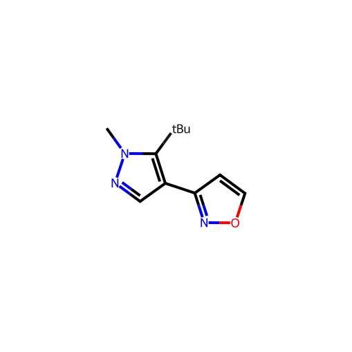 Cn1ncc(-c2ccon2)c1C(C)(C)C